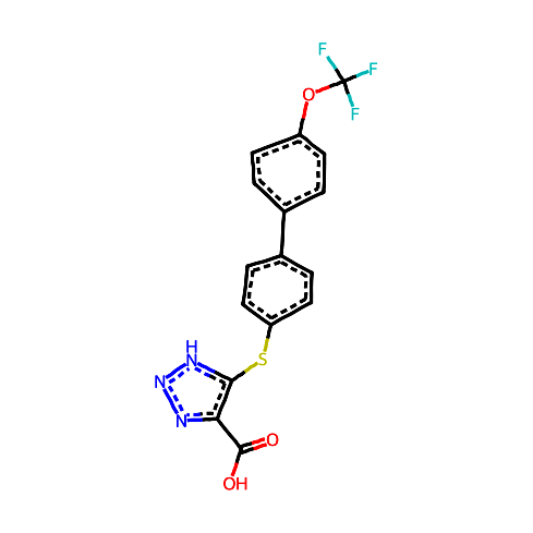 O=C(O)c1nn[nH]c1Sc1ccc(-c2ccc(OC(F)(F)F)cc2)cc1